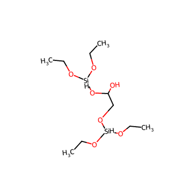 CCO[SiH](OCC)OCC(O)O[SiH](OCC)OCC